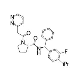 CC(C)c1ccc([C@@H](NC(=O)[C@@H]2CCCN2C(=O)Cc2cccnn2)c2ccccc2)cc1F